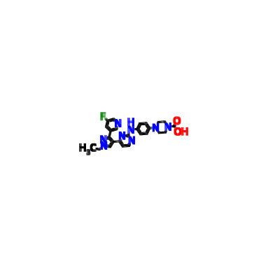 CCn1cc(-c2ccnc(Nc3ccc(N4CCN(C(=O)O)CC4)cc3)n2)c(-c2cncc(F)c2)n1